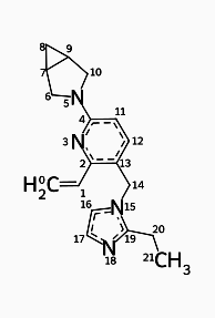 C=Cc1nc(N2CC3CC3C2)ccc1Cn1ccnc1CC